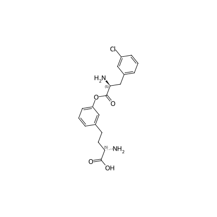 N[C@@H](CCc1cccc(OC(=O)[C@@H](N)Cc2cccc(Cl)c2)c1)C(=O)O